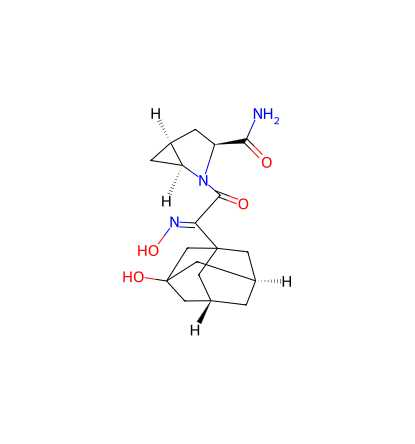 NC(=O)[C@@H]1C[C@@H]2C[C@@H]2N1C(=O)C(=NO)C12C[C@@H]3C[C@@H](CC(O)(C3)C1)C2